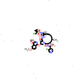 COc1ccc2c(O[C@@H]3C[C@H]4C(=O)N[C@]5(C(=O)NS(=O)(=O)C6(CF)CC6)C[C@H]5C=CCC[C@@H](C)C[C@@H](C)[C@H](NC(=O)c5ccncc5F)C(=O)N4C3)ncc(OC)c2c1